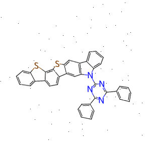 c1ccc(-c2nc(-c3ccccc3)nc(-n3c4ccccc4c4cc5sc6c(ccc7c8ccccc8sc76)c5cc43)n2)cc1